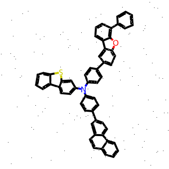 c1ccc(-c2cccc3c2oc2ccc(-c4ccc(N(c5ccc(-c6ccc7c(ccc8ccccc87)c6)cc5)c5ccc6c(c5)sc5ccccc56)cc4)cc23)cc1